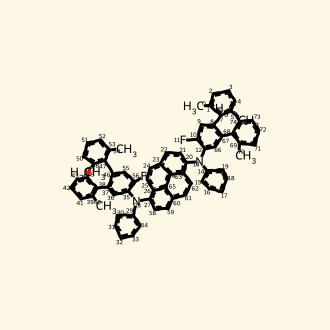 Cc1cccc(C)c1-c1cc(F)c(N(c2ccccc2)c2ccc3ccc4c(N(c5ccccc5)c5cc(-c6c(C)cccc6C)c(-c6c(C)cccc6C)cc5F)ccc5ccc2c3c54)cc1-c1c(C)cccc1C